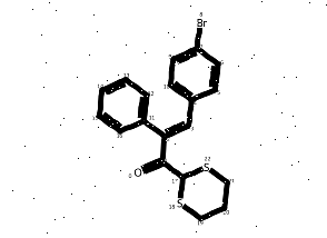 O=C(/C(=C/c1ccc(Br)cc1)c1ccccc1)C1SCCCS1